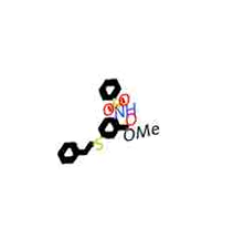 COC(=O)c1cc(SCCc2ccccc2)ccc1NS(=O)(=O)c1ccccc1